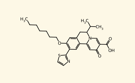 CCCCCCCOc1cc2c(cc1-c1nccs1)-c1cc(=O)c(C(=O)O)cn1C(C(C)C)C2